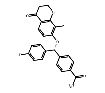 Cc1c(O[C@@H](c2ccc(F)cc2)c2ccc(C(N)=O)cc2)ccc2c1OCCC2=O